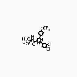 C[C@@H](CO)NC(=O)c1cc(-c2ccc(OC(F)(F)F)cc2)nc(-c2ccc(Cl)c(Cl)c2)n1